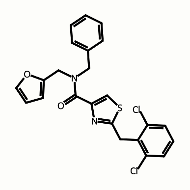 O=C(c1csc(Cc2c(Cl)cccc2Cl)n1)N(Cc1ccccc1)Cc1ccco1